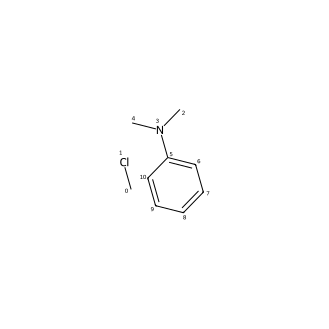 CCl.CN(C)c1ccccc1